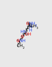 C=CCC(=O)NCCOCCC(O)NCCCCC(NC)C(N)=O